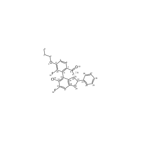 CCCOc1ccc(C(C)=O)c(-c2c(Cl)c(F)cc3c2[C@H](C)C(c2ccccc2)O3)c1F